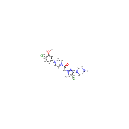 COc1cc(N2CCN(C(=O)Cn3nc(N4CCN(C)CC4)c(Cl)c3C)CC2)ccc1Cl